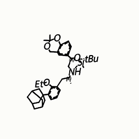 CCOc1c(C[C@@H](C)NC[C@H](O[Si](C)(C)C(C)(C)C)c2ccc3c(c2)COC(C)(C)O3)cccc1C12CC3CC(CC(C3)C1)C2